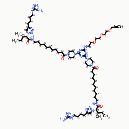 C#CCOCCOCCOCCNc1nc(N2CCN(C(=O)CCCCCCCCCCNC(=O)[C@H]([C@@H](C)CC)n3cc(CCCCN=C(N)N)nn3)CC2)nc(N2CCN(C(=O)CCCCCCCCCCNC(=O)[C@H]([C@@H](C)CC)n3cc(CCCCN=C(N)N)nn3)CC2)n1